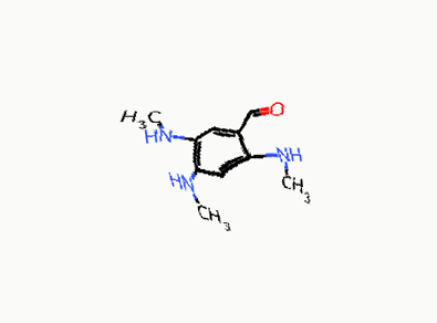 CNc1cc(NC)c(NC)cc1C=O